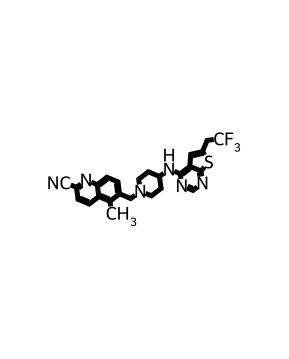 Cc1c(CN2CCC(Nc3ncnc4sc(CC(F)(F)F)cc34)CC2)ccc2nc(C#N)ccc12